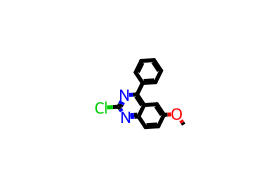 COc1ccc2nc(Cl)nc(-c3ccccc3)c2c1